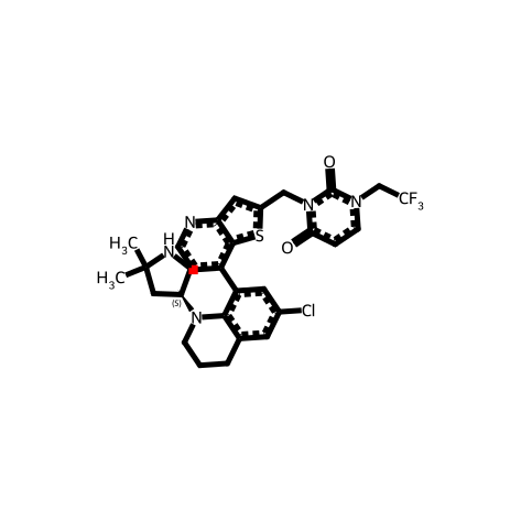 CC1(C)C[C@H](N2CCCc3cc(Cl)cc(-c4ccnc5cc(Cn6c(=O)ccn(CC(F)(F)F)c6=O)sc45)c32)CN1